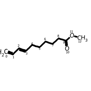 C=C/C=C/CCCCCC(=O)OC